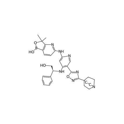 CC1(C)OB(O)c2ccc(Nc3cc(N[C@H](CO)c4ccccc4)c(-c4nc(C56CCN(CC5)CC6)no4)cn3)nc21